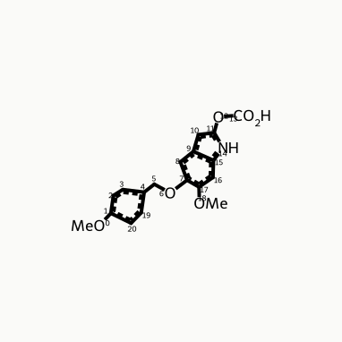 COc1ccc(COc2cc3cc(OC(=O)O)[nH]c3cc2OC)cc1